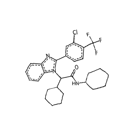 O=C(NC1CCCCC1)C(C1CCCCC1)n1c(-c2ccc(C(F)(F)F)c(Cl)c2)nc2ccccc21